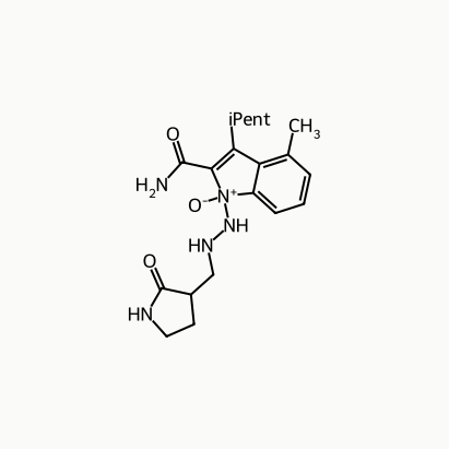 CCCC(C)C1=C(C(N)=O)[N+]([O-])(NNCC2CCNC2=O)c2cccc(C)c21